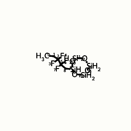 CCC(F)(F)C(F)(F)C[SiH]1O[SiH2]O[SiH2]O[SiH2]O1